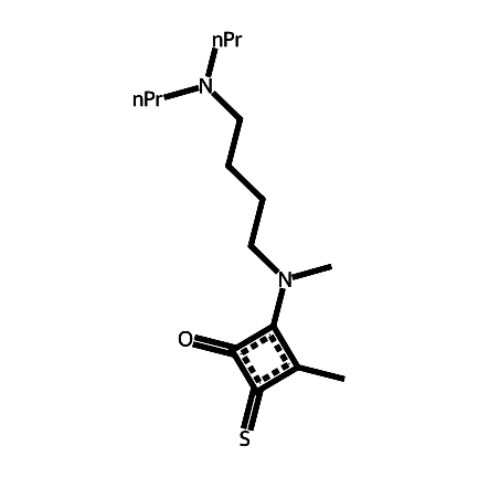 CCCN(CCC)CCCCN(C)c1c(C)c(=S)c1=O